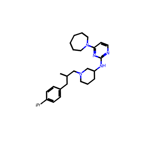 CC(Cc1ccc(C(C)C)cc1)CN1CCCC(Nc2nccc(N3CCCCCC3)n2)C1